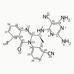 C[C@H](Nc1nc(N)nc(N)c1C#N)c1nc2cccc(F)c2c(=O)n1-c1cccc(C#N)c1